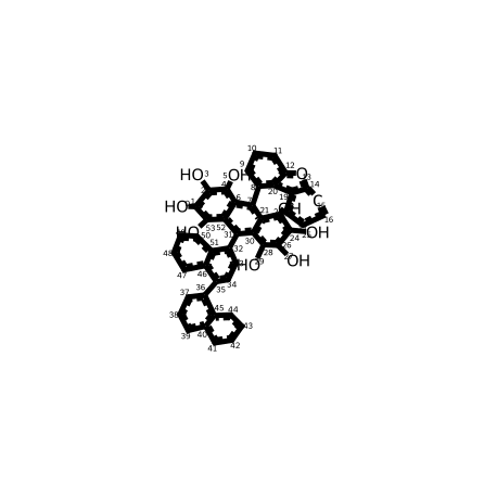 Oc1c(O)c(O)c2c(-c3cccc4oc5ccccc5c34)c3c(O)c(O)c(O)c(O)c3c(-c3ccc(-c4cccc5ccccc45)c4ccccc34)c2c1O